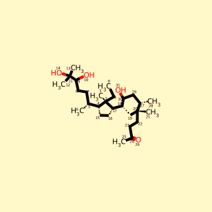 CC[C@]1(C)[C@@H]([C@H](C)CCC(O)C(C)(C)O)CC[C@H]1[C@H]1C[C@@](C)(CCC(C)=O)[C@@H](C)CC1O